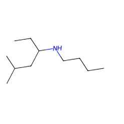 CCCCNC(CC)CC(C)C